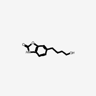 O=c1[nH]c2ccc(CCCCO)cc2o1